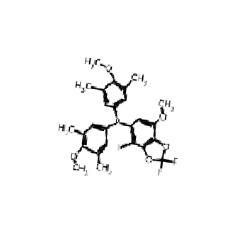 COc1cc(P(c2cc(C)c(OC)c(C)c2)c2cc(C)c(OC)c(C)c2)c(I)c2c1OC(F)(F)O2